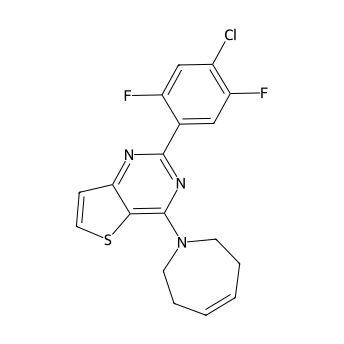 Fc1cc(-c2nc(N3CCC=CCC3)c3sccc3n2)c(F)cc1Cl